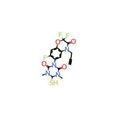 C#CCN1C(=O)C(F)(F)Oc2cc(F)c(N3C(=O)N(C)C(S)N(C)C3=O)cc21